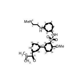 CNCCNc1cccc(NS(=O)(=O)c2cc(-c3cccc(C(=O)N(C)C)c3)ccc2OC)c1